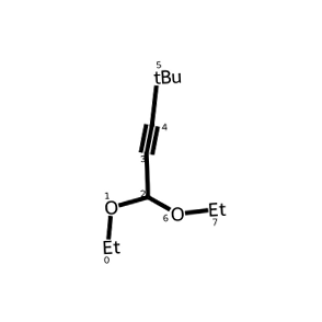 CCOC(C#CC(C)(C)C)OCC